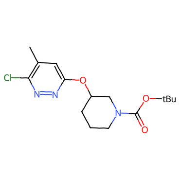 Cc1cc(OC2CCCN(C(=O)OC(C)(C)C)C2)nnc1Cl